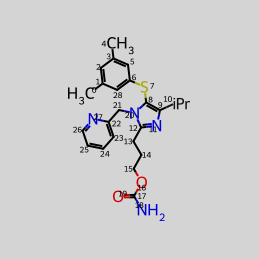 Cc1cc(C)cc(Sc2c(C(C)C)nc(CCCOC(N)=O)n2Cc2ccccn2)c1